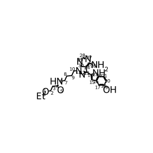 CCOCCC(=O)NCCCCn1nc(-c2cc3cc(O)ccc3[nH]2)c2c(N)ncnc21